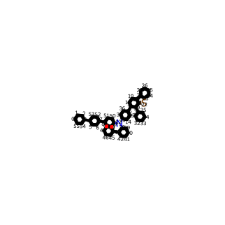 c1ccc(-c2ccc(-c3ccc(N(c4ccc(-c5ccc6c(sc7ccccc76)c5-c5ccccc5)cc4)c4ccccc4-c4ccccc4)cc3)cc2)cc1